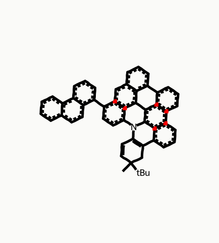 CC(C)(C)C1(C)C=CC(N(c2ccc(-c3cccc4c3ccc3ccccc34)cc2)c2ccccc2-c2cccc3cccc(-c4ccccc4)c23)=C(c2ccccc2)C1